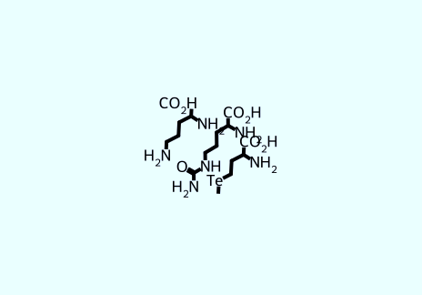 C[Te]CCC(N)C(=O)O.NC(=O)NCCCC(N)C(=O)O.NCCCC(N)C(=O)O